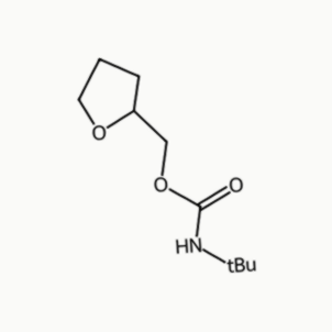 CC(C)(C)NC(=O)OCC1CCCO1